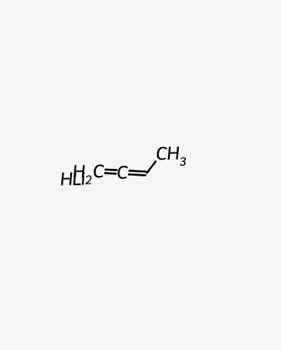 C=C=CC.[LiH]